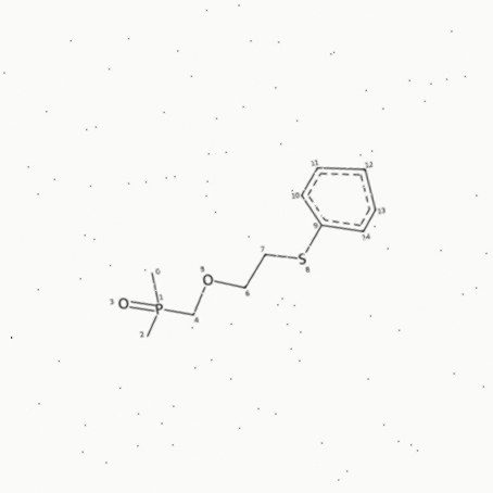 CP(C)(=O)COCCSc1ccccc1